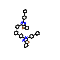 c1ccc(-c2ccc(-c3nc(-c4cccc(-c5cccc(-c6ccc(-c7nc(-c8ccc(-c9ccccc9)cc8)c8sc9ccccc9c8n7)cc6)c5)c4)c4sc5ccccc5c4n3)cc2)cc1